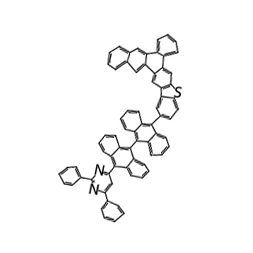 c1ccc(-c2cc(-c3c4ccccc4c(-c4c5ccccc5c(-c5ccc6sc7cc8c9ccccc9c9cc%10ccccc%10cc9c8cc7c6c5)c5ccccc45)c4ccccc34)nc(-c3ccccc3)n2)cc1